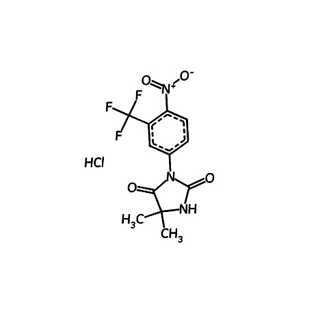 CC1(C)NC(=O)N(c2ccc([N+](=O)[O-])c(C(F)(F)F)c2)C1=O.Cl